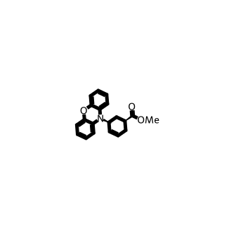 COC(=O)[C@H]1CC=C[C@@H](N2c3ccccc3Oc3ccccc32)C1